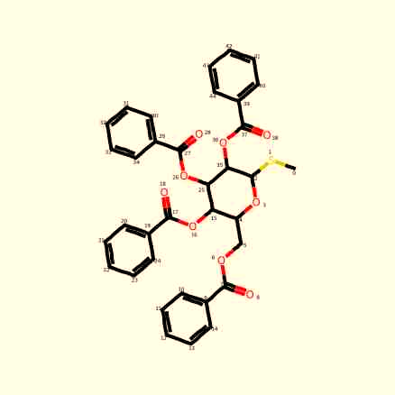 CSC1OC(COC(=O)c2ccccc2)C(OC(=O)c2ccccc2)C(OC(=O)c2ccccc2)C1OC(=O)c1ccccc1